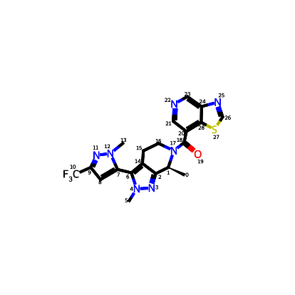 C[C@H]1c2nn(C)c(-c3cc(C(F)(F)F)nn3C)c2CCN1C(=O)c1cncc2ncsc12